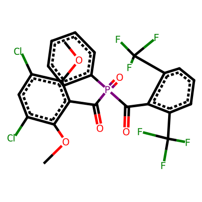 COc1c(Cl)cc(Cl)c(OC)c1C(=O)P(=O)(C(=O)c1c(C(F)(F)F)cccc1C(F)(F)F)c1ccccc1